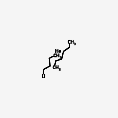 CCCCCC.[He].[Li][CH2]CCC